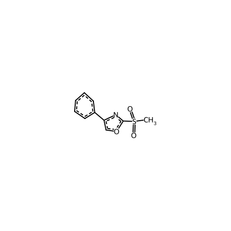 CS(=O)(=O)c1nc(-c2ccccc2)co1